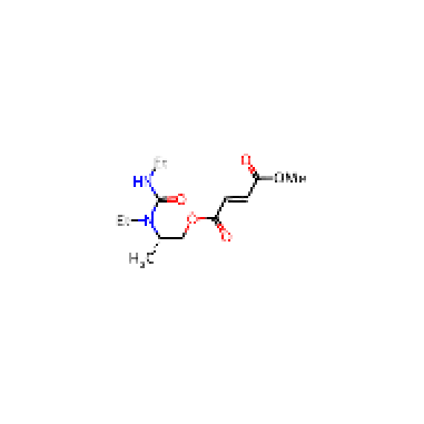 CCNC(=O)N(CC)[C@@H](C)COC(=O)/C=C/C(=O)OC